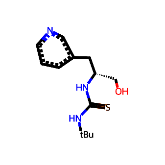 CC(C)(C)NC(=S)N[C@@H](CO)Cc1cccnc1